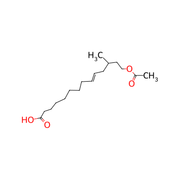 CC(=O)OCCC(C)CC=CCCCCCCCC(=O)O